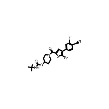 CC(C)(C)NC(=O)OC1CCN(C(=O)c2cc(-c3ccc(C#N)c(F)c3)c(Br)s2)CC1